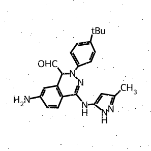 Cc1cc(NC2=NN(c3ccc(C(C)(C)C)cc3)C(C=O)c3cc(N)ccc32)[nH]n1